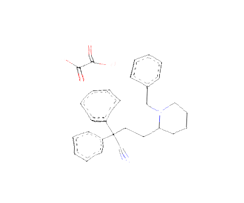 N#CC(CCC1CCCCN1Cc1ccccc1)(c1ccccc1)c1ccccc1.O=C(O)C(=O)O